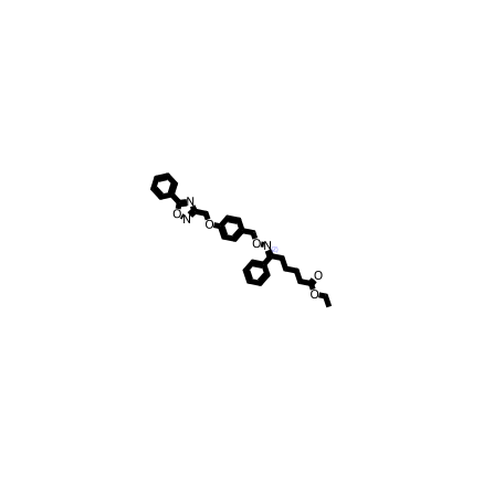 CCOC(=O)CCCC/C(=N/OCc1ccc(OCc2noc(-c3ccccc3)n2)cc1)c1ccccc1